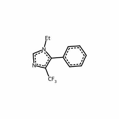 CCn1cnc(C(F)(F)F)c1-c1ccccc1